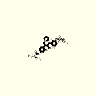 CNS(=O)(=O)Nc1cccc(CC2=C(CN3CCCC3)c3ccc(OC(=O)N(C)C)cc3OC2O)c1F